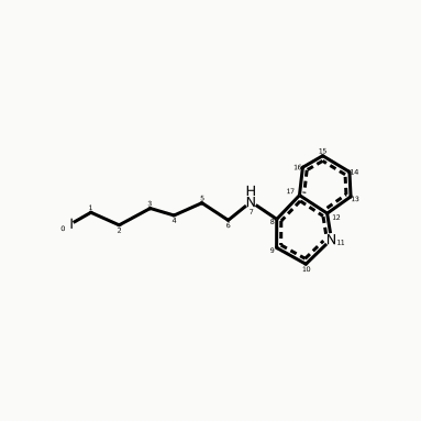 ICCCCCCNc1ccnc2ccccc12